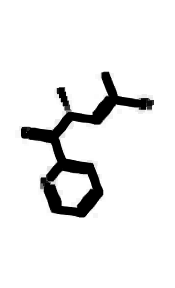 C/C(=C\[C@@H](C)C(=O)c1ccccn1)C(C)C